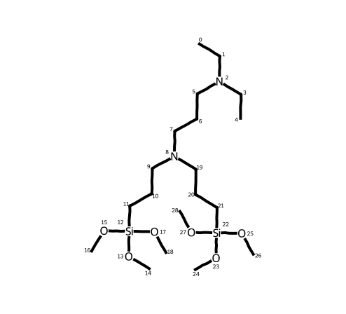 CCN(CC)CCCN(CCC[Si](OC)(OC)OC)CCC[Si](OC)(OC)OC